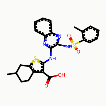 Cc1ccccc1S(=O)(=O)Nc1nc2ccccc2nc1Nc1sc2c(c1C(=O)O)CCC(C)C2